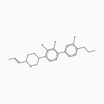 C/C=C/C1CCC(c2ccc(-c3ccc(CCC)c(F)c3)c(F)c2F)CO1